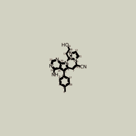 Cc1ccc(-c2c(/C=C(/C#N)n3ccnn3)n(CCCO)c3ncnc(N)c23)cc1